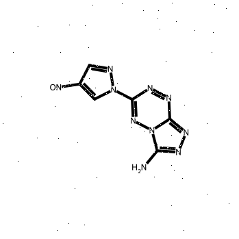 Nc1nnc2nnc(-n3cc(N=O)cn3)nn12